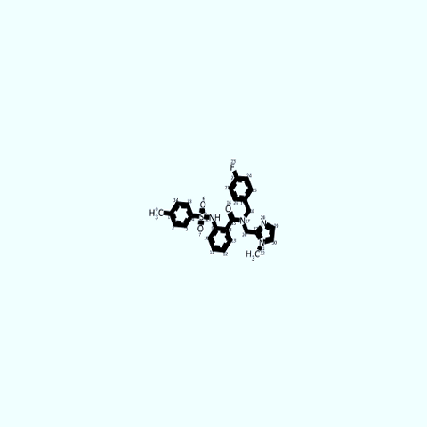 Cc1ccc(S(=O)(=O)Nc2ccccc2C(=O)N(Cc2ccc(F)cc2)Cc2nccn2C)cc1